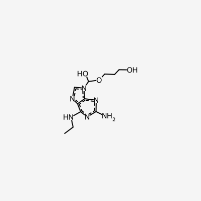 CCNc1nc(N)nc2c1ncn2C(O)OCCCO